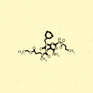 CCCS(=O)(=O)Nc1nc(N)c2c(n1)n(Cc1ccccc1)c(=O)n2C(=O)N(C)CCC(=O)OCC